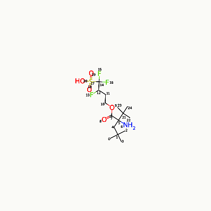 CC(C)(C)CC(N)(C(=O)OCCC(F)C(F)(F)S(=O)(=O)O)C(C)(C)C